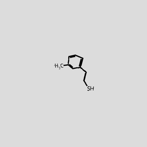 [CH2]c1cccc(CCS)c1